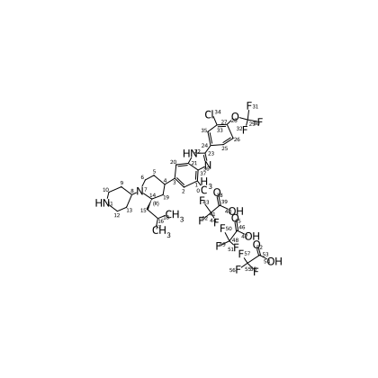 Cc1cc(C2CCN(C3CCNCC3)[C@H](CC(C)C)C2)cc2[nH]c(-c3ccc(OC(F)(F)F)c(Cl)c3)nc12.O=C(O)C(F)(F)F.O=C(O)C(F)(F)F.O=C(O)C(F)(F)F